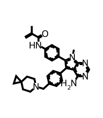 C=C(C)C(=O)Nc1ccc(-c2c(-c3ccc(CN4CCC5(CC4)CC5)cc3)c3c(N)ncnc3n2C)cc1